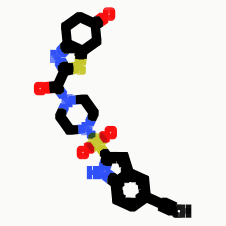 C#Cc1ccc2[nH]c(S(=O)(=O)N3CCN(C(=O)c4nc5c(s4)CC(=O)CC5)CC3)cc2c1